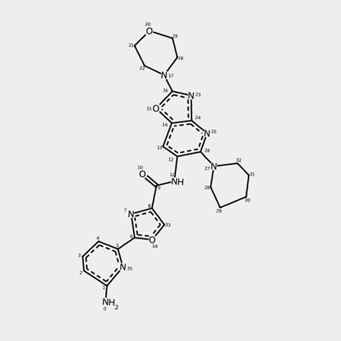 Nc1cccc(-c2nc(C(=O)Nc3cc4oc(N5CCOCC5)nc4nc3N3CCCCC3)co2)n1